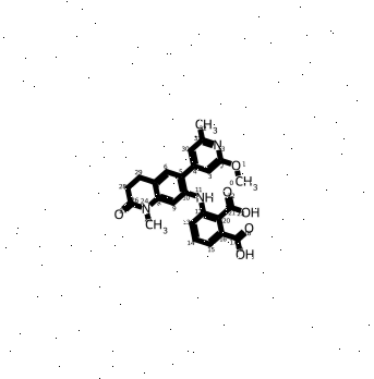 COc1cc(-c2cc3c(cc2Nc2cccc(C(=O)O)c2C(=O)O)N(C)C(=O)CC3)cc(C)n1